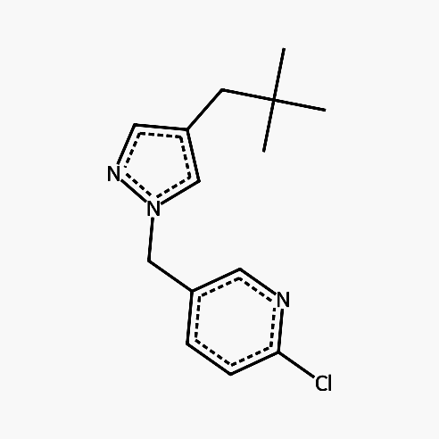 CC(C)(C)Cc1cnn(Cc2ccc(Cl)nc2)c1